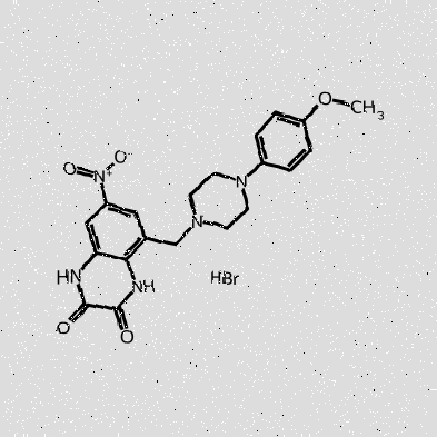 Br.COc1ccc(N2CCN(Cc3cc([N+](=O)[O-])cc4[nH]c(=O)c(=O)[nH]c34)CC2)cc1